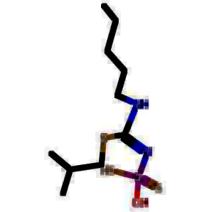 CCCCCNC(=NP(O)(=S)S)SCC(C)C